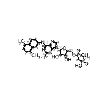 Cc1ccc(C)c2cc(Nc3nc(Cl)nc4c3ncn4[C@@H]3O[C@H](COP(=O)(O)CP(=O)(O)O)[C@H](O)[C@@H]3O)ccc12